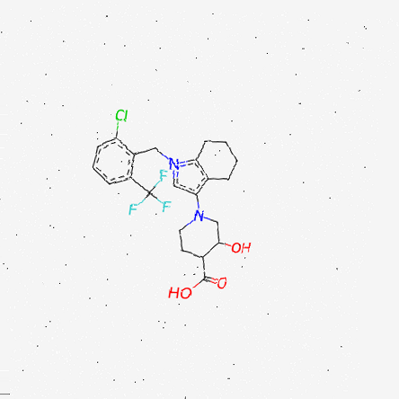 O=C(O)C1CCN(c2cn(Cc3c(Cl)cccc3C(F)(F)F)c3c2CCCC3)CC1O